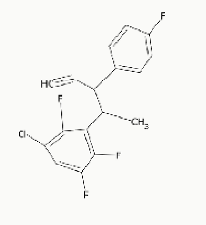 C#CC(c1ccc(F)cc1)C(C)c1c(F)c(F)cc(Cl)c1F